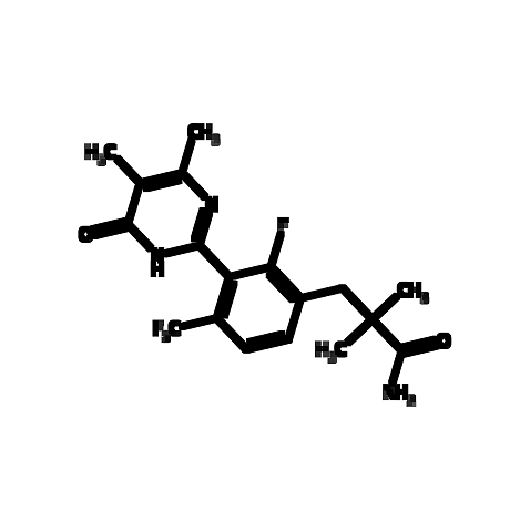 Cc1nc(-c2c(C(F)(F)F)ccc(CC(C)(C)C(N)=O)c2F)[nH]c(=O)c1C